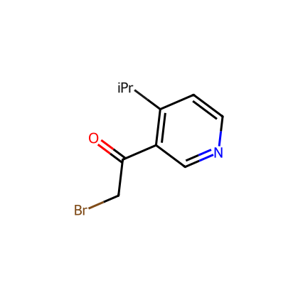 CC(C)c1ccncc1C(=O)CBr